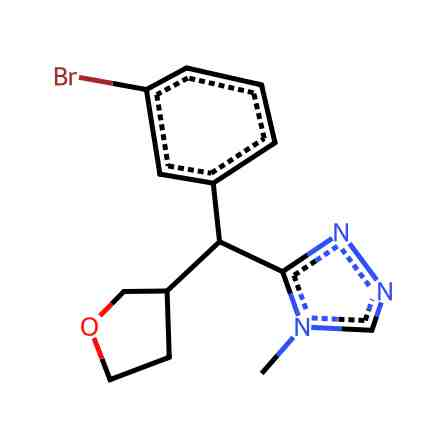 Cn1cnnc1C(c1cccc(Br)c1)C1CCOC1